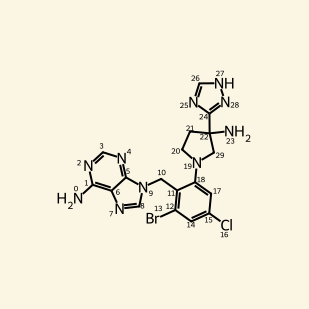 Nc1ncnc2c1ncn2Cc1c(Br)cc(Cl)cc1N1CCC(N)(c2nc[nH]n2)C1